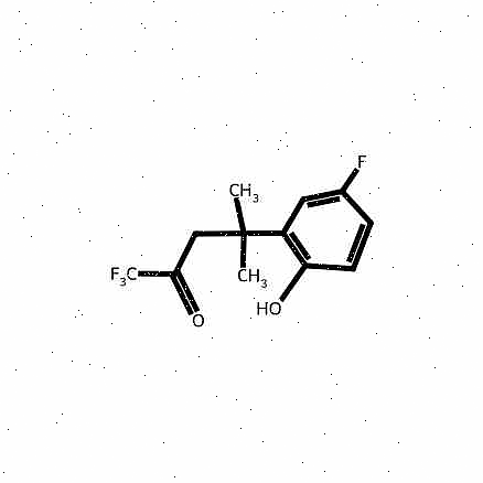 CC(C)(CC(=O)C(F)(F)F)c1cc(F)ccc1O